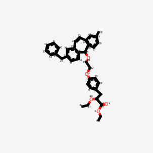 CCOC(=O)C(Cc1ccc(OCCOC2c3ccc(C)cc3C=Cc3cc(Cc4ccccc4)ccc32)cc1)OCC